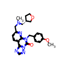 COc1ccc(Cn2c(=O)n3ncnc3c3ccc(CN(C)C[C@@H]4CCOC4)nc32)cc1